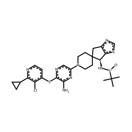 CC(C)(C)[S+]([O-])N[C@@H]1c2scnc2CC12CCN(c1cnc(Sc3ccnc(C4CC4)c3Cl)c(N)n1)CC2